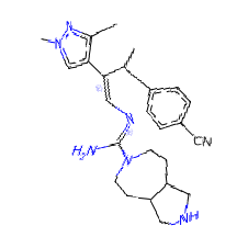 Cc1nn(C)cc1/C(=C/N=C(\N)N1CCC2CNCC2CC1)C(C)c1ccc(C#N)cc1